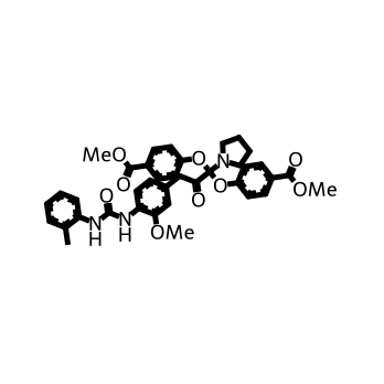 COC(=O)c1ccc(OC(Oc2ccc(C(=O)OC)cc2)(C(=O)Cc2ccc(NC(=O)Nc3ccccc3C)c(OC)c2)N2CCCC2)cc1